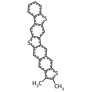 Cc1sc2cc3cc4c(cc3cc2c1C)sc1cc2c(cc14)sc1ccccc12